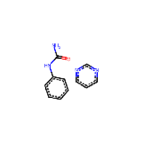 NC(=O)Nc1ccccc1.c1cncnc1